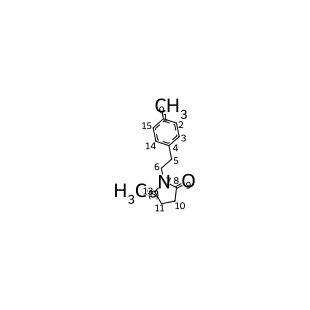 Cc1ccc(CCN2C(=O)CC[C@@H]2C)cc1